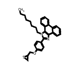 CCCCCCCCn1c(-c2ccc(OCC3CS3)cc2)nc2c3ccccc3c3ccccc3c21